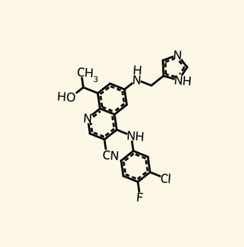 CC(O)c1cc(NCc2cnc[nH]2)cc2c(Nc3ccc(F)c(Cl)c3)c(C#N)cnc12